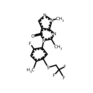 Cc1cc(F)c(-n2c(C)nc3c(cnn3C)c2=O)cc1SCC(F)(F)F